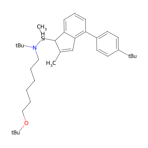 CC1=Cc2c(-c3ccc(C(C)(C)C)cc3)cccc2C1[SiH](C)N(CCCCCCOC(C)(C)C)C(C)(C)C